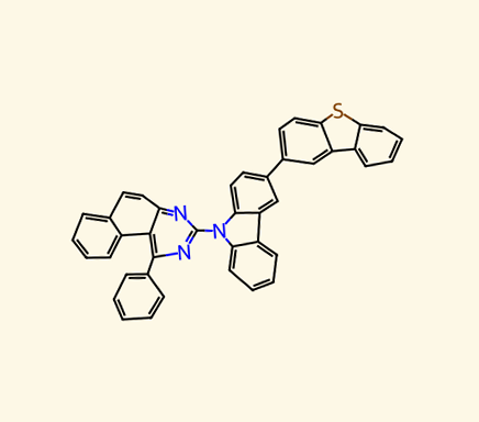 c1ccc(-c2nc(-n3c4ccccc4c4cc(-c5ccc6sc7ccccc7c6c5)ccc43)nc3ccc4ccccc4c23)cc1